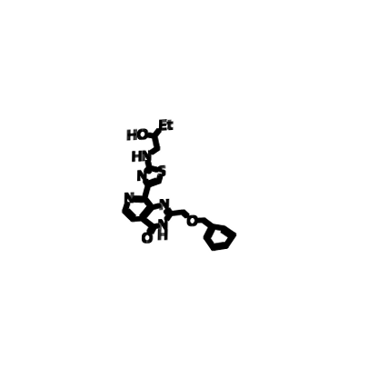 CCC(O)CNc1nc(-c2nccc3c(=O)[nH]c(COCc4ccccc4)nc23)cs1